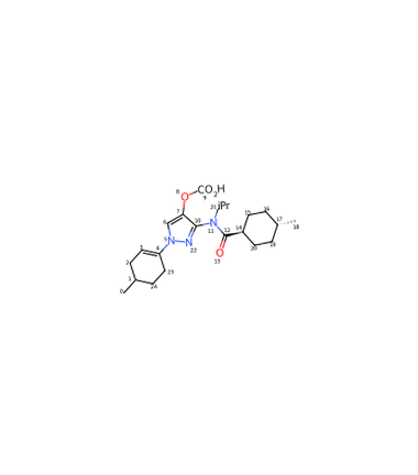 CC1CC=C(n2cc(OC(=O)O)c(N(C(=O)[C@H]3CC[C@H](C)CC3)C(C)C)n2)CC1